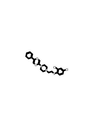 Clc1ccc(SCCN2CCN(C3=COC(C4=CC=CCC4)=CO3)CC2)c(Cl)c1